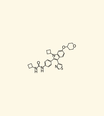 O=C(Nc1ccc(-c2c(-c3cscn3)c3ccc(OC4CCOCC4)cc3n2C2CCC2)cc1)NC1CCC1